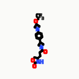 O=C1N[C@H](CCC(=O)N2CC(c3ccc(N4CC(OCC(F)(F)F)C4)cc3)C2)CO1